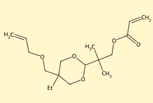 C=CCOCC1(CC)COC(C(C)(C)COC(=O)C=C)OC1